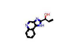 C=CC(O)c1nc2cnc3ccccc3c2[nH]1